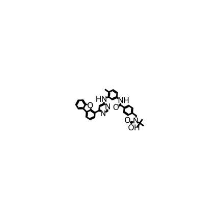 Cc1ccc(NC(=O)c2ccc(CN(C(=O)O)C(C)(C)C)cc2)cc1Nc1cc(-c2cccc3c2oc2ccccc23)ncn1